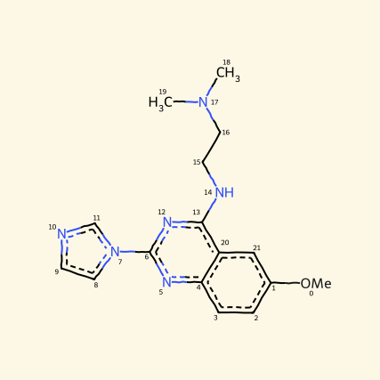 COc1ccc2nc(-n3ccnc3)nc(NCCN(C)C)c2c1